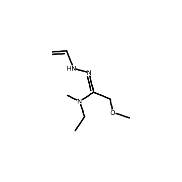 C=CN/N=C(/COC)N(C)CC